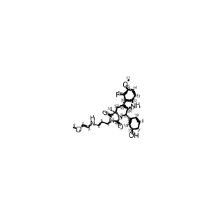 COCCNCCCN1C(=O)N2[C@H](C3=CC(O)CC=C3)c3[nH]c4ccc(OC)c(F)c4c3C[C@@]2(C)C1=O